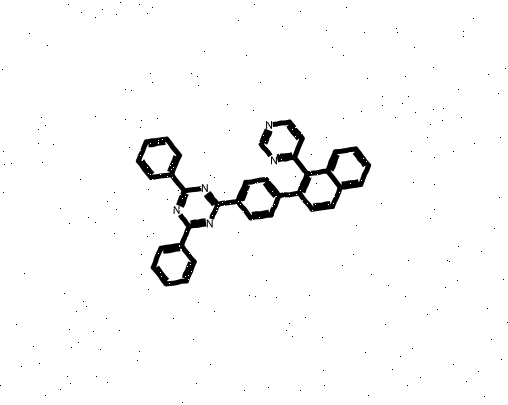 c1ccc(-c2nc(-c3ccccc3)nc(-c3ccc(-c4ccc5ccccc5c4-c4ccncn4)cc3)n2)cc1